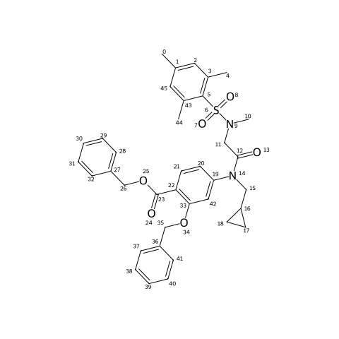 Cc1cc(C)c(S(=O)(=O)N(C)CC(=O)N(CC2CC2)c2ccc(C(=O)OCc3ccccc3)c(OCc3ccccc3)c2)c(C)c1